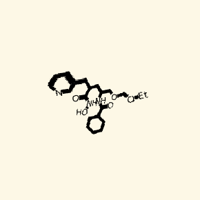 CCOCOCC(CC(Cc1cccnc1)C(=O)NO)NC(=O)C1CCCCC1